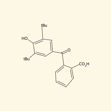 CC(C)(C)c1cc(C(=O)c2ccccc2C(=O)O)cc(C(C)(C)C)c1O